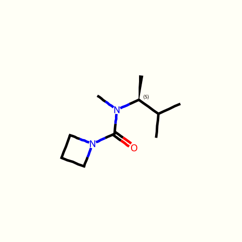 CC(C)[C@H](C)N(C)C(=O)N1CCC1